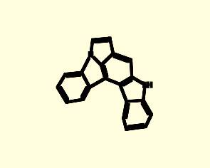 c1ccc2c(c1)[nH]c1cc3ccn4c5ccccc5c(c12)c34